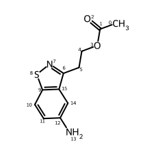 CC(=O)OCCc1nsc2ccc(N)cc12